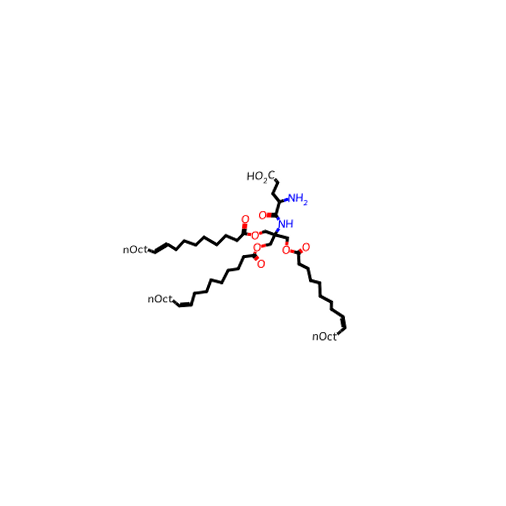 CCCCCCCCC=CCCCCCCCC(=O)OCC(COC(=O)CCCCCCC/C=C\CCCCCCCC)(COC(=O)CCCCCCC/C=C\CCCCCCCC)NC(=O)C(N)CCC(=O)O